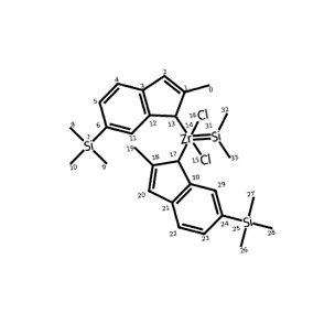 CC1=Cc2ccc([Si](C)(C)C)cc2[CH]1[Zr]([Cl])([Cl])([CH]1C(C)=Cc2ccc([Si](C)(C)C)cc21)=[Si](C)C